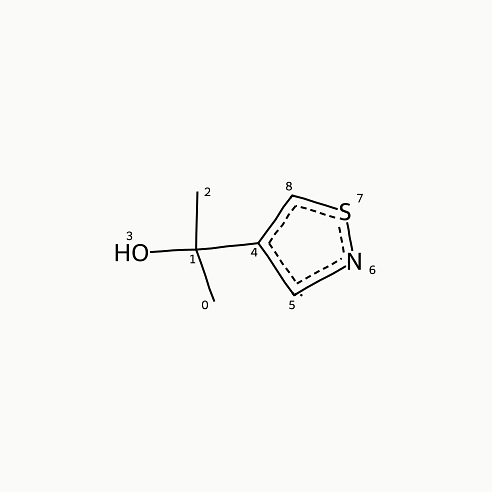 CC(C)(O)c1[c]nsc1